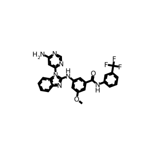 COc1cc(Nc2nc3ccccc3n2-c2cc(N)ncn2)cc(C(=O)Nc2cccc(C(F)(F)F)c2)c1